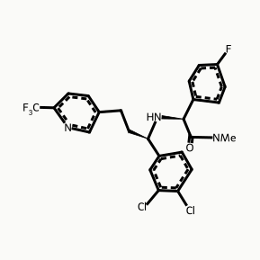 CNC(=O)[C@@H](N[C@H](CCc1ccc(C(F)(F)F)nc1)c1ccc(Cl)c(Cl)c1)c1ccc(F)cc1